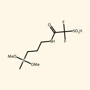 CO[Si](C)(CCCNC(=O)C(F)(F)S(=O)(=O)O)OC